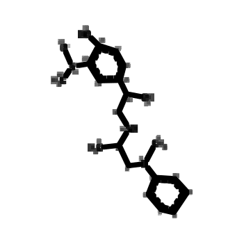 CC(CN(C)c1ccccc1)NCC(O)c1ccc(O)c([S+](C)[O-])c1